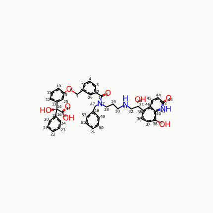 O=C(c1cccc(COc2cccc([C@](O)(C(=O)O)c3ccccc3)c2)c1)N(CCCNC[C@H](O)c1ccc(O)c2[nH]c(=O)ccc12)Cc1ccccc1